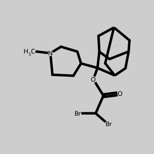 CN1CCC(C2(OC(=O)C(Br)Br)C3CC4CC(C3)CC2C4)CC1